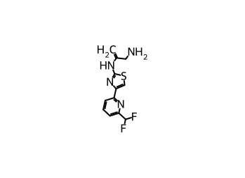 C=C(CN)Nc1nc(-c2cccc(C(F)F)n2)cs1